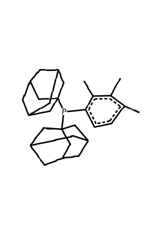 Cc1ccc(P(C23CC4CC(CC(C4)C2)C3)C23CC4CC(CC(C4)C2)C3)c(C)c1C